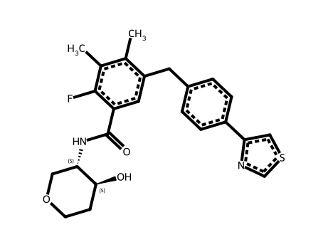 Cc1c(Cc2ccc(-c3cscn3)cc2)cc(C(=O)N[C@H]2COCC[C@@H]2O)c(F)c1C